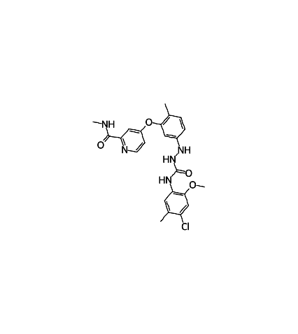 CNC(=O)c1cc(Oc2cc(NNC(=O)Nc3cc(C)c(Cl)cc3OC)ccc2C)ccn1